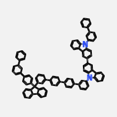 c1ccc(-c2cccc(-c3ccc(C4(c5cccc(-c6ccc(-c7ccc(-c8cccc(-n9c%10ccccc%10c%10cc(-c%11ccc%12c(c%11)c%11ccccc%11n%12-c%11cccc(-c%12ccccc%12)c%11)ccc%109)c8)cc7)cc6)c5)c5ccccc5-c5ccccc54)cc3)c2)cc1